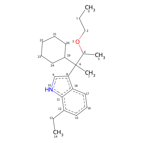 CCCOC(C)C(C)(c1c[nH]c2c(CC)cccc12)C1CCCCC1